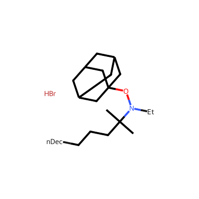 Br.CCCCCCCCCCCCCC(C)(C)N(CC)OC12CC3CC(CC(C3)C1)C2